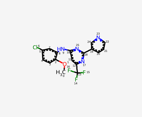 COc1ccc(Cl)cc1Nc1cc(C(F)(F)F)nc(-c2cccnc2)n1